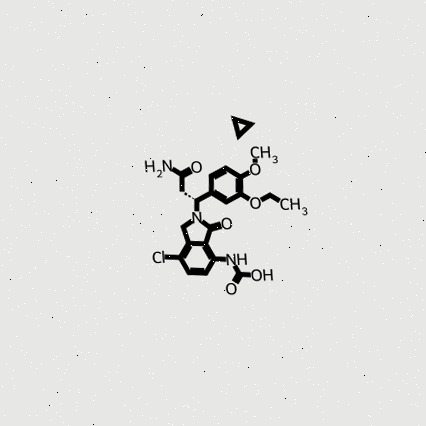 C1CC1.CCOc1cc([C@@H](CC(N)=O)N2Cc3c(Cl)ccc(NC(=O)O)c3C2=O)ccc1OC